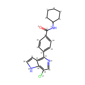 O=C(NC1CCCCC1)c1ccc(-c2ncc(Cl)c3[nH]ccc23)cc1